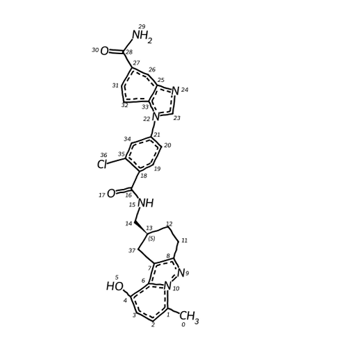 Cc1ccc(O)c2c3c(nn12)CC[C@H](CNC(=O)c1ccc(-n2cnc4cc(C(N)=O)ccc42)cc1Cl)C3